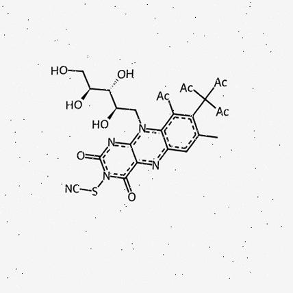 CC(=O)c1c(C(C(C)=O)(C(C)=O)C(C)=O)c(C)cc2nc3c(=O)n(SC#N)c(=O)nc-3n(C[C@@H](O)[C@@H](O)[C@@H](O)CO)c12